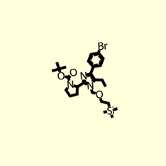 CCc1c(-c2ccc(Br)cc2)nc(C2CCCN2C(=O)OC(C)(C)C)n1COCC[Si](C)(C)C